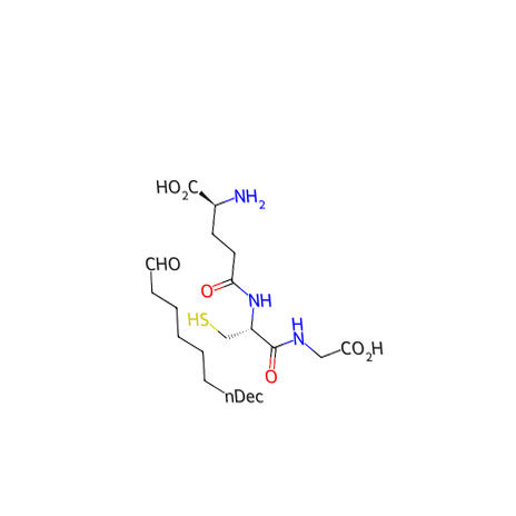 CCCCCCCCCCCCCCCC=O.N[C@@H](CCC(=O)N[C@@H](CS)C(=O)NCC(=O)O)C(=O)O